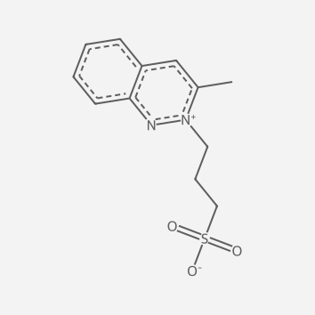 Cc1cc2ccccc2n[n+]1CCCS(=O)(=O)[O-]